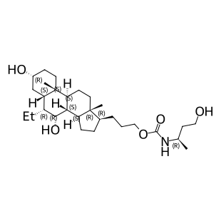 CC[C@H]1[C@@H](O)[C@@H]2[C@H](CC[C@]3(C)[C@@H](CCCOC(=O)N[C@H](C)CCO)CC[C@@H]23)[C@@]2(C)CC[C@@H](O)C[C@@H]12